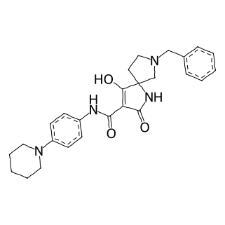 O=C(Nc1ccc(N2CCCCC2)cc1)C1=C(O)C2(CCN(Cc3ccccc3)C2)NC1=O